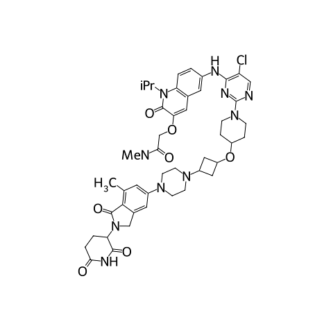 CNC(=O)COc1cc2cc(Nc3nc(N4CCC(OC5CC(N6CCN(c7cc(C)c8c(c7)CN(C7CCC(=O)NC7=O)C8=O)CC6)C5)CC4)ncc3Cl)ccc2n(C(C)C)c1=O